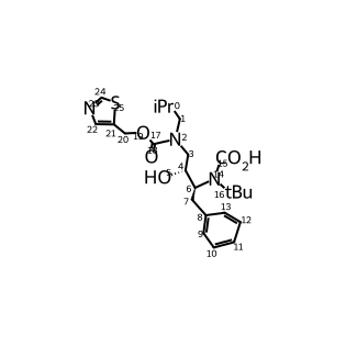 CC(C)CN(C[C@@H](O)[C@H](Cc1ccccc1)N(C(=O)O)C(C)(C)C)C(=O)OCc1cncs1